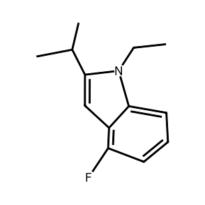 CCn1c(C(C)C)cc2c(F)cccc21